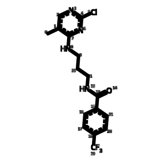 Cc1cnc(Cl)nc1NCCCNC(=O)c1ccc(C(F)(F)F)cc1